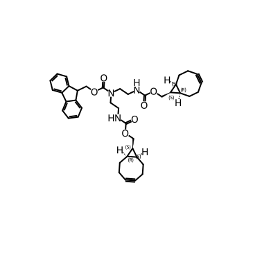 O=C(NCCN(CCNC(=O)OC[C@@H]1[C@@H]2CCC#CCC[C@@H]21)C(=O)OCC1c2ccccc2-c2ccccc21)OC[C@@H]1[C@@H]2CCC#CCC[C@@H]21